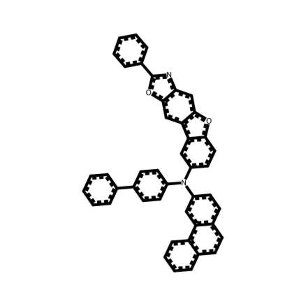 c1ccc(-c2ccc(N(c3ccc4ccc5ccccc5c4c3)c3ccc4oc5cc6nc(-c7ccccc7)oc6cc5c4c3)cc2)cc1